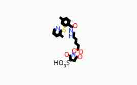 Cc1ccc(C(=O)NCCCCCC(=O)ON2C(=O)CC(S(=O)(=O)O)C2=O)c(Sc2ncccc2C)c1